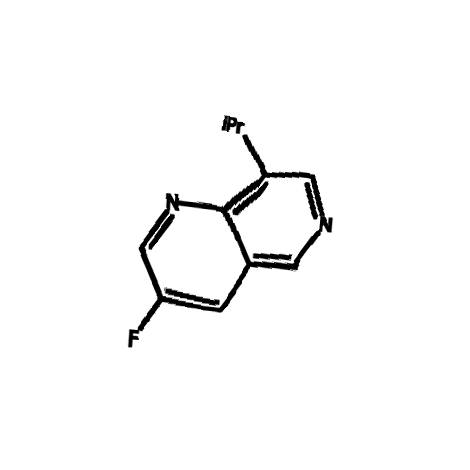 CC(C)c1cncc2cc(F)cnc12